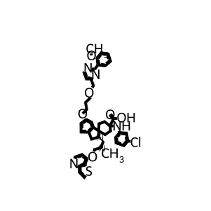 COc1ccccc1-c1nccc(COCCCOc2ccc3c(c2)C2(CCC(Nc4cccc(Cl)c4)(C(=O)O)CC2)[C@@H](C[C@@H](C)COc2ccnc4ccsc24)C3)n1